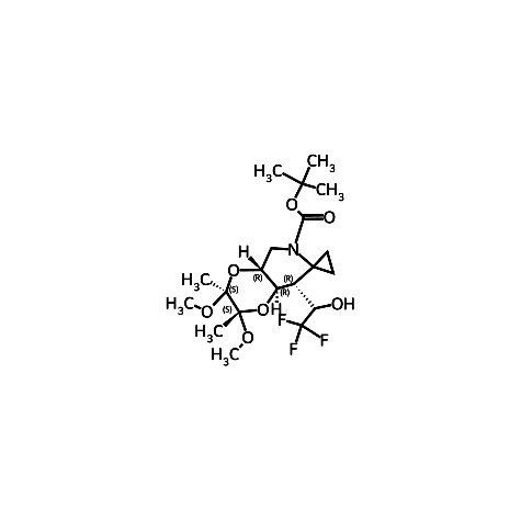 CO[C@@]1(C)O[C@@H]2[C@@H](C(O)C(F)(F)F)C3(CC3)N(C(=O)OC(C)(C)C)C[C@H]2O[C@]1(C)OC